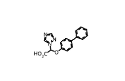 O=C(O)C(Oc1ccc(-c2ccccc2)cc1)n1cncn1